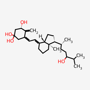 C=C1/C(=C\C=C2/CCC[C@]3(C)[C@@H]([C@H](C)CCC(O)C(C)C)CC[C@@H]23)CC(O)(O)C[C@@H]1O